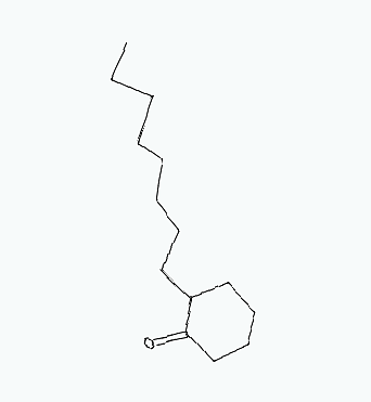 CCCCCCCCC1CCCCC1=O